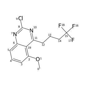 COc1cccc2nc(Cl)nc(CCCC(F)(F)F)c12